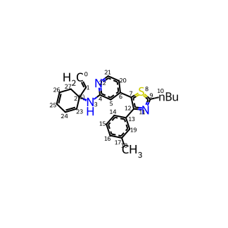 C=C[C@]1(Nc2cc(-c3sc(CCCC)nc3-c3cccc(C)c3)ccn2)C=CC=CC1